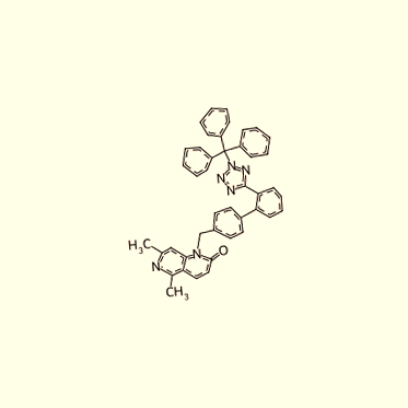 Cc1cc2c(ccc(=O)n2Cc2ccc(-c3ccccc3-c3nnn(C(c4ccccc4)(c4ccccc4)c4ccccc4)n3)cc2)c(C)n1